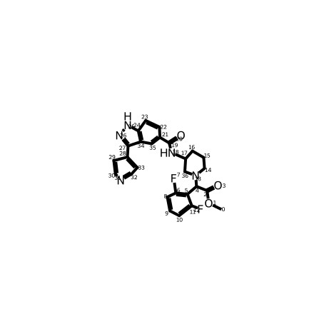 COC(=O)C(c1c(F)cccc1F)N1CCCC(NC(=O)c2ccc3[nH]nc(-c4ccncc4)c3c2)C1